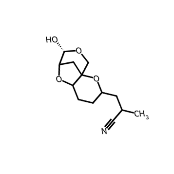 CC(C#N)CC1CCC2OC3CC2(CO[C@H]3O)O1